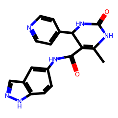 CC1=C(C(=O)Nc2ccc3[nH]ncc3c2)C(c2ccncc2)NC(=O)N1